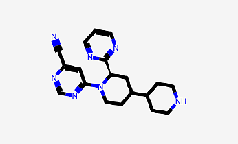 N#Cc1cc(N2CCC(C3CCNCC3)C[C@@H]2c2ncccn2)ncn1